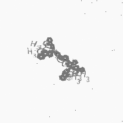 CC1(C)c2ccccc2-c2ccc(N(c3ccc4c(c3)C(C)(C)c3ccccc3-4)c3ccc4c(c3)oc3c4ccc4c3oc3cc(N(c5ccc6c(c5)C(C)(C)c5ccccc5-6)c5ccc6c(c5)C(C)(C)c5ccccc5-6)c5ccccc5c34)cc21